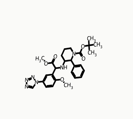 COC(=O)C(NC1CCCN(C(=O)OC(C)(C)C)C1c1ccccc1)c1cc(-n2cnnn2)ccc1OC